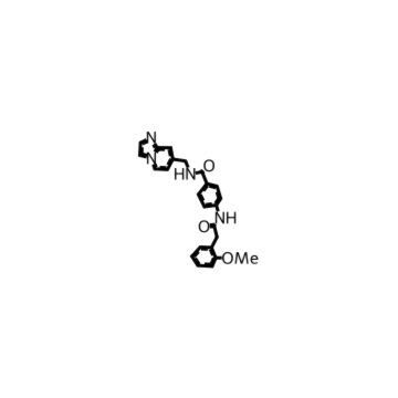 COc1ccccc1CC(=O)Nc1ccc(C(=O)NCc2ccn3ccnc3c2)cc1